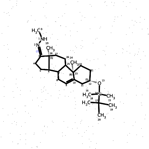 CN/N=C1/CCC2C3CC=C4C[C@@H](O[Si](C)(C)C(C)(C)C)CC[C@]4(C)C3CC[C@]12C